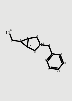 ClCC1C2CN(Cc3ccccc3)CC12